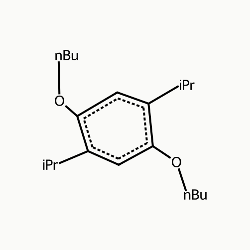 CCCCOc1cc(C(C)C)c(OCCCC)cc1C(C)C